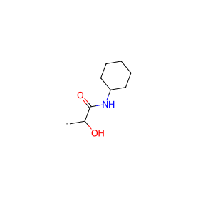 [CH2]C(O)C(=O)NC1CCCCC1